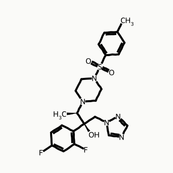 Cc1ccc(S(=O)(=O)N2CCN([C@H](C)[C@](O)(Cn3cncn3)c3ccc(F)cc3F)CC2)cc1